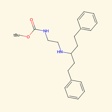 CC(C)(C)OC(=O)NCCNC(CCc1ccccc1)CCc1ccccc1